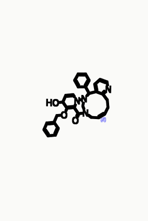 O=C1C2=C(OCc3ccccc3)C(O)C=CN2N2CN1C/C=C\CCc1ncccc1C2c1ccccc1